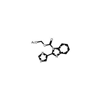 CC(=O)OCOC(=O)n1c(-c2cscn2)nc2ccccc21